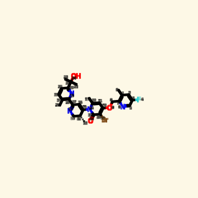 Cc1cc(F)cnc1COc1cc(C)n(C2=CC(c3nc(C(C)(C)O)ccc3C)=NC[C@H]2C)c(=O)c1Br